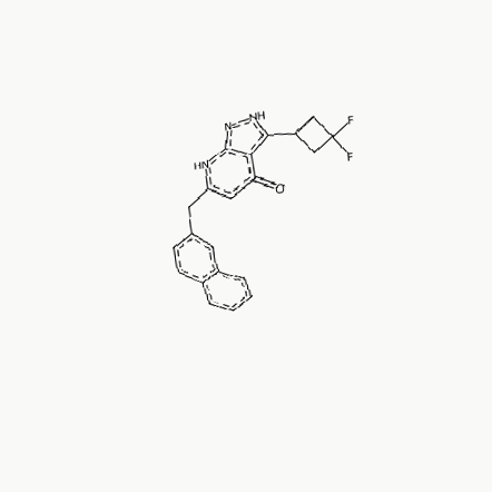 O=c1cc(Cc2ccc3ccccc3c2)[nH]c2n[nH]c(C3CC(F)(F)C3)c12